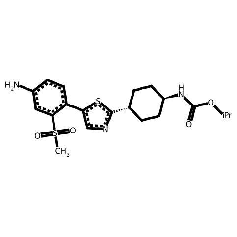 CC(C)OC(=O)N[C@H]1CC[C@H](c2ncc(-c3ccc(N)cc3S(C)(=O)=O)s2)CC1